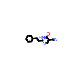 N#Cc1cnc(C=Cc2ccccc2)[nH]c1=O